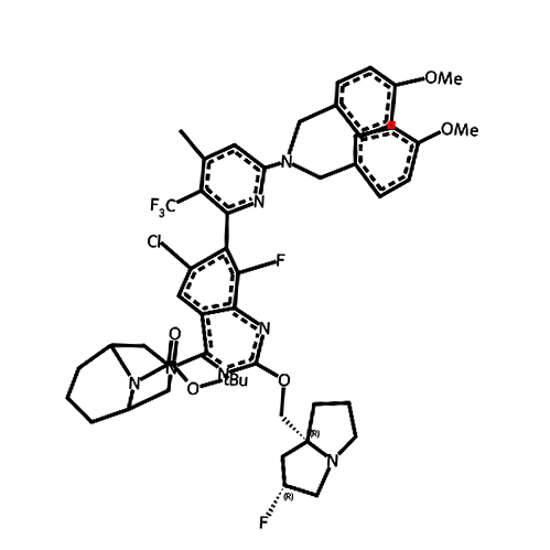 COc1ccc(CN(Cc2ccc(OC)cc2)c2cc(C)c(C(F)(F)F)c(-c3c(Cl)cc4c(N5CC6CCCC(C5)N6C(=O)OC(C)(C)C)nc(OC[C@]56CCCN5C[C@H](F)C6)nc4c3F)n2)cc1